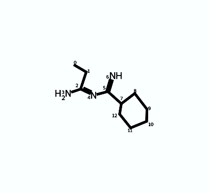 CC/C(N)=N\C(=N)C1CCCCC1